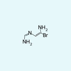 N/C=N\C=C(/N)Br